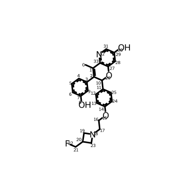 CC1=C(c2cccc(O)c2)C(c2ccc(OCCN3CC(CF)C3)cc2)Oc2cc(O)cnc21